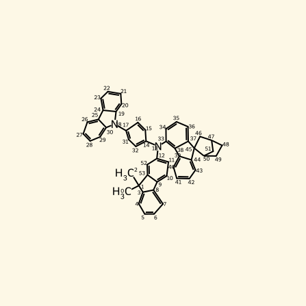 CC1(C)c2ccccc2-c2ccc(N(c3ccc(-n4c5ccccc5c5ccccc54)cc3)c3cccc4c3-c3ccccc3C43CC4CCC3C4)cc21